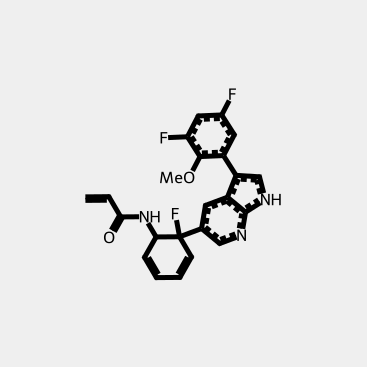 C=CC(=O)NC1C=CC=CC1(F)c1cnc2[nH]cc(-c3cc(F)cc(F)c3OC)c2c1